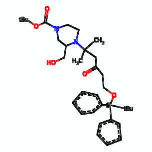 CC(C)(C)OC(=O)N1CCN(C(C)(C)CC(=O)CCO[Si](c2ccccc2)(c2ccccc2)C(C)(C)C)C(CO)C1